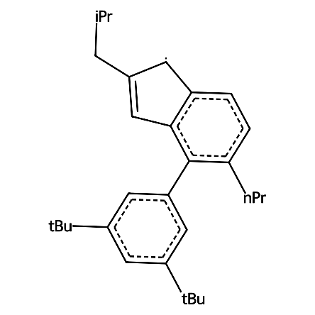 CCCc1ccc2c(c1-c1cc(C(C)(C)C)cc(C(C)(C)C)c1)C=C(CC(C)C)[CH]2